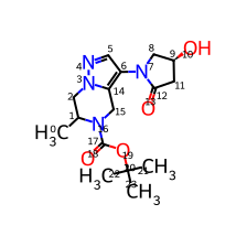 CC1Cn2ncc(N3C[C@@H](O)CC3=O)c2CN1C(=O)OC(C)(C)C